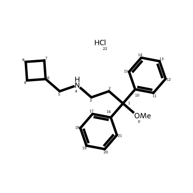 COC(CCNCC1CCC1)(c1ccccc1)c1ccccc1.Cl